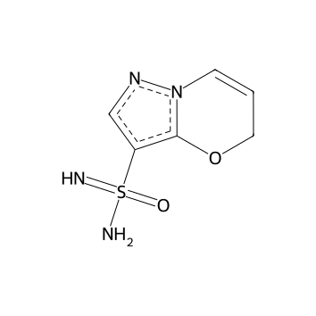 N=S(N)(=O)c1cnn2c1OCC=C2